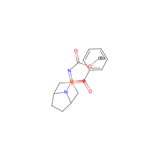 CC(C)(C)OC(=O)N=S1(=O)CC2CCC(C1)N2OC(=O)c1ccccc1